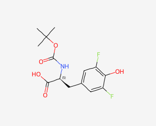 CC(C)(C)OC(=O)N[C@@H](Cc1cc(F)c(O)c(F)c1)C(=O)O